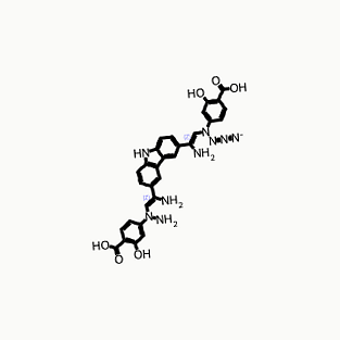 [N-]=[N+]=NN(/C=C(\N)c1ccc2[nH]c3ccc(/C(N)=C/N(N)c4ccc(C(=O)O)c(O)c4)cc3c2c1)c1ccc(C(=O)O)c(O)c1